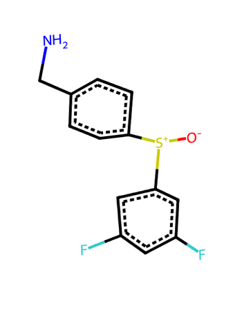 NCc1ccc([S+]([O-])c2cc(F)cc(F)c2)cc1